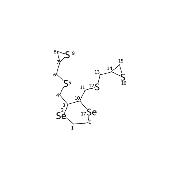 C1C[Se]C(CSCC2CS2)C(CSCC2CS2)[Se]1